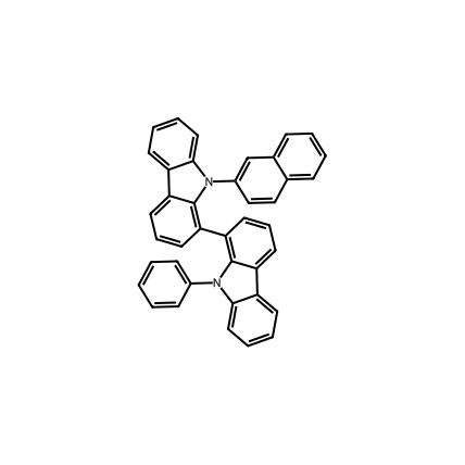 c1ccc(-n2c3ccccc3c3cccc(-c4cccc5c6ccccc6n(-c6ccc7ccccc7c6)c45)c32)cc1